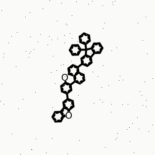 c1ccc(C2(c3ccccc3)c3ccccc3-c3ccc(-c4ccc5c6c(cccc46)-c4cc(-c6ccc7oc8ccccc8c7c6)ccc4O5)cc32)cc1